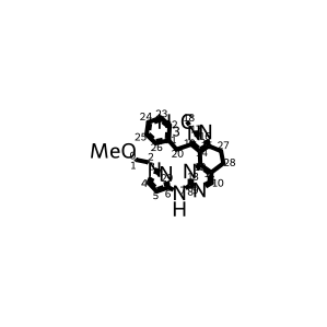 COCCn1ccc(Nc2ncc3c(n2)-c2c(nn(C)c2Cc2ccccc2)CC3)n1